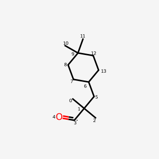 CC(C)([C]=O)CC1CCC(C)(C)CC1